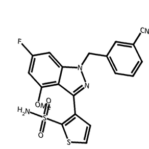 COc1cc(F)cc2c1c(-c1ccsc1S(N)(=O)=O)nn2Cc1cccc(C#N)c1